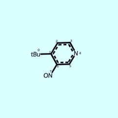 CC(C)(C)c1ccncc1N=O